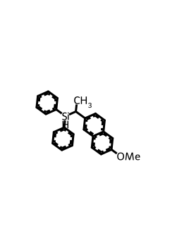 COc1ccc2cc(C(C)[SiH](c3ccccc3)c3ccccc3)ccc2c1